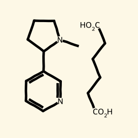 CN1CCCC1c1cccnc1.O=C(O)CCCCC(=O)O